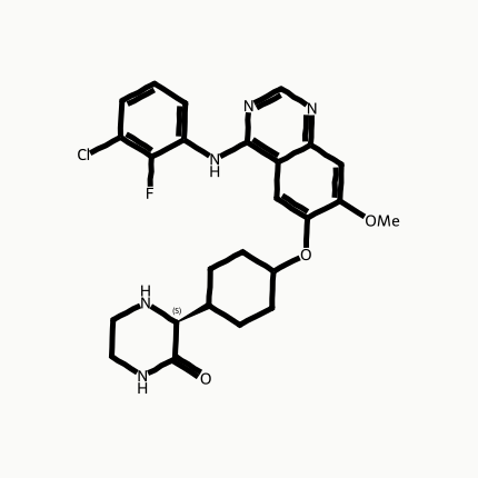 COc1cc2ncnc(Nc3cccc(Cl)c3F)c2cc1OC1CCC([C@@H]2NCCNC2=O)CC1